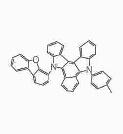 Cc1ccc(-n2c3ccccc3c3c4c5ccccc5n(-c5cccc6c5oc5ccccc56)c4c4ccccc4c32)cc1